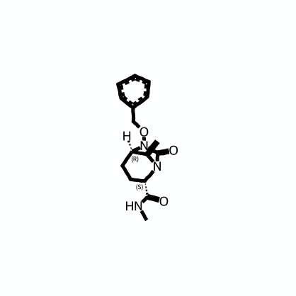 C=C1[C@H]2CC[C@@H](C(=O)NC)N1C(=O)N2OCc1ccccc1